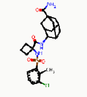 Cc1c(Cl)cccc1S(=O)(=O)NC1(C(=O)NC2C3CC4CC2CC(C(N)=O)(C4)C3)CCC1